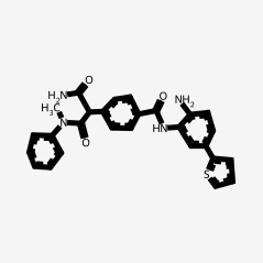 CN(C(=O)C(C(N)=O)c1ccc(C(=O)Nc2cc(-c3cccs3)ccc2N)cc1)c1ccccc1